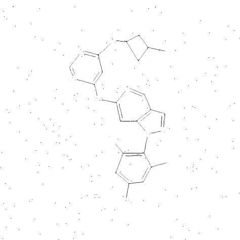 N#Cc1cc(F)c(-n2ncc3cnc(Nc4cc(NC5CC(O)C5)ncn4)cc32)c(Cl)c1